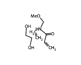 C=C.C=CC(=O)NCOC.OCCO